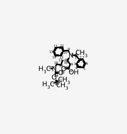 C[C@@H](c1ccccc1)N(Cc1ccccc1)[C@@H](CCCN(C)C(=O)OC(C)(C)C)CC(=O)O